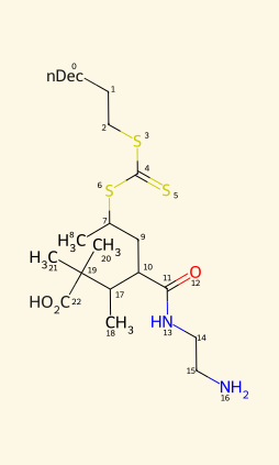 CCCCCCCCCCCCSC(=S)SC(C)CC(C(=O)NCCN)C(C)C(C)(C)C(=O)O